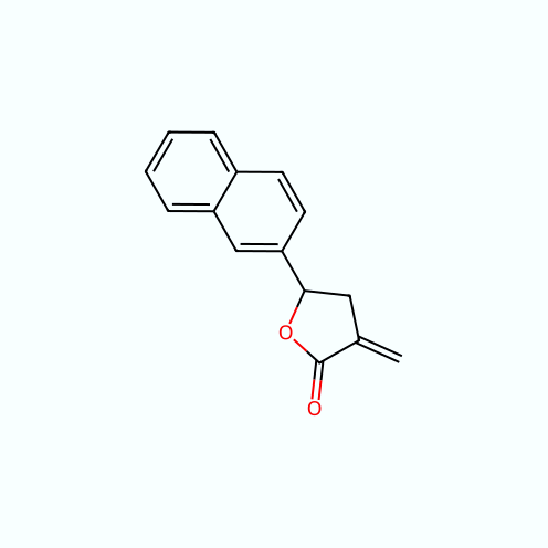 C=C1CC(c2ccc3ccccc3c2)OC1=O